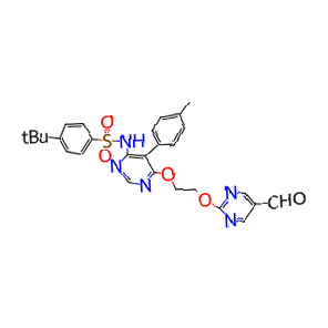 Cc1ccc(-c2c(NS(=O)(=O)c3ccc(C(C)(C)C)cc3)ncnc2OCCOc2ncc(C=O)cn2)cc1